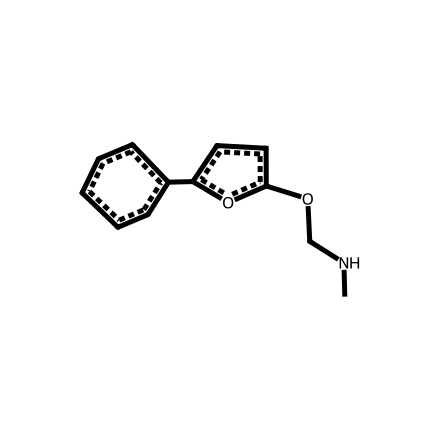 CNCOc1ccc(-c2ccccc2)o1